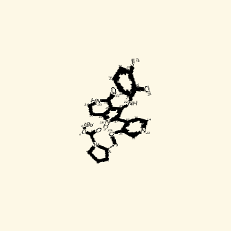 CC(C)(C)OC(=O)N1CCC[C@H]1COc1cnccc1-c1[nH]c2c(c1Nc1cccc(F)c1Cl)C(=O)NCC2